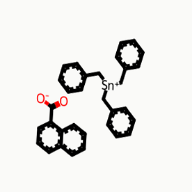 O=C([O-])c1cccc2ccccc12.c1ccc([CH2][Sn+]([CH2]c2ccccc2)[CH2]c2ccccc2)cc1